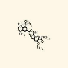 CCOc1cc2c(nc1C(=O)NC)C(=N)N(CC(=O)c1cc3c(c(C(C)(C)C)c1)OCCN3C)C2